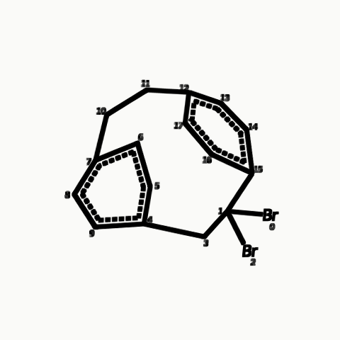 BrC1(Br)Cc2ccc(cc2)CCc2ccc1cc2